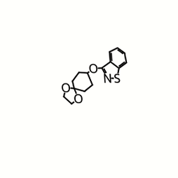 c1ccc2c(OC3CCC4(CC3)OCCO4)nsc2c1